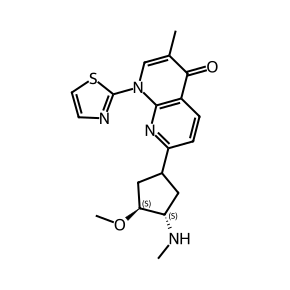 CN[C@H]1CC(c2ccc3c(=O)c(C)cn(-c4nccs4)c3n2)C[C@@H]1OC